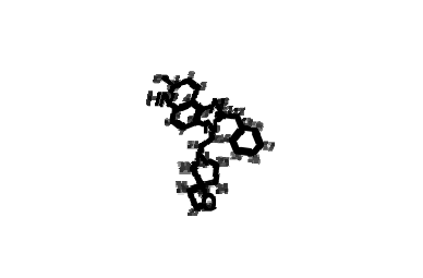 C[C@H]1CCc2c(ccc3c2nc(Cc2ccccc2)n3CCN2CC[C@@]3(CCO3)C2)N1